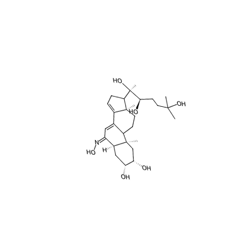 CC(C)(O)CC[C@@H](O)[C@](C)(O)C1CC=C2C3=C/C(=N/O)[C@@H]4C[C@@H](O)[C@@H](O)C[C@]4(C)C3CC[C@@]21C